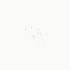 CC1=Cc2c(C(C)C)cc(C(C)C)cc2[CH]1[Zr]([CH3])([CH3])([CH3])([CH3])(=[SiH2])[CH]1C(C)=Cc2c(C(C)C)cc(C(C)C)cc21